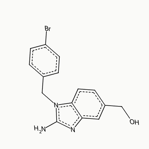 Nc1nc2cc(CO)ccc2n1Cc1ccc(Br)cc1